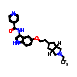 O=C(Nc1c[nH]c2ccc(OCCC3C[C@@H]4CN(CC(F)(F)F)C[C@@H]4C3)cc12)c1ccncc1